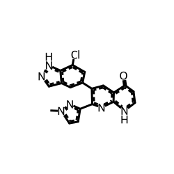 Cn1ccc(-c2nc3[nH]ccc(=O)c3cc2-c2cc(Cl)c3[nH]ncc3c2)n1